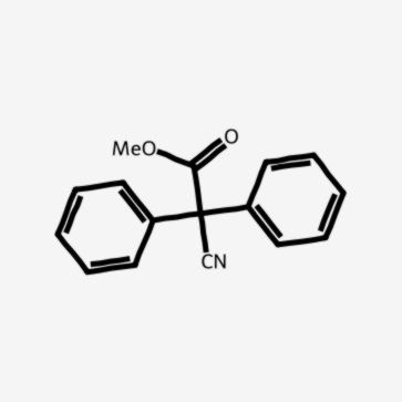 COC(=O)C(C#N)(c1ccccc1)c1ccccc1